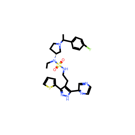 CCN([C@@H]1CCN(C(C)c2ccc(F)cc2)C1)S(=O)(=O)NCCc1c(-c2cccs2)n[nH]c1-c1cnccn1